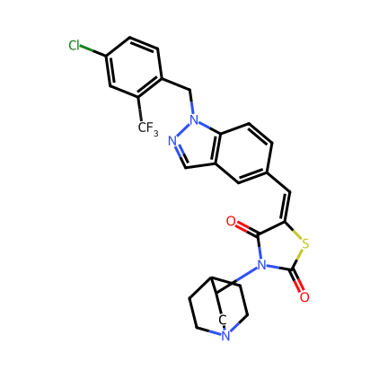 O=C1SC(=Cc2ccc3c(cnn3Cc3ccc(Cl)cc3C(F)(F)F)c2)C(=O)N1C1CN2CCC1CC2